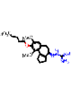 COc1cc2c(c(OC)c1OCCCCC(=O)O)C1=C(CCC1)C(=NNC(=N)N)CC2